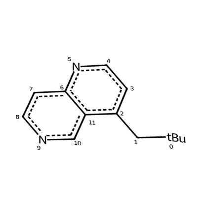 CC(C)(C)Cc1ccnc2ccncc12